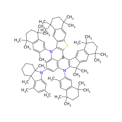 Cc1cc(C)c2c(c1)N(c1cc3c4c(c1)N(c1cc5c(cc1C)C(C)(C)CCC5(C)C)c1c(sc5cc6c(cc15)C(C)(C)CCC6(C)C)B4C1=C(N3c3cc4c(cc3C)C(C)(C)CCC4(C)C)C(C)(C)c3cc4c(cc31)C(C)(C)CCC4(C)C)C1(C)CCCCC21C